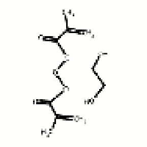 C=C(C)C(=O)OOOC(=O)C(=C)C.OCCO